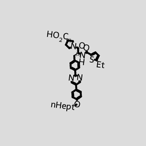 CCCCCCCOc1ccc(-c2cnc(-c3ccc(C[C@H](NC(=O)c4ccc(CC)s4)C(=O)N4CC[C@H](C(=O)O)C4)cc3)nc2)cc1